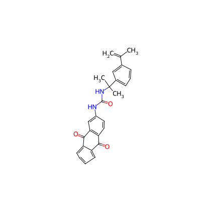 C=C(C)c1cccc(C(C)(C)NC(=O)Nc2ccc3c(c2)C(=O)c2ccccc2C3=O)c1